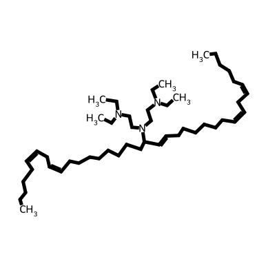 CCCCC/C=C\C/C=C\CCCCCC/C=C/C(CCCCCCCC/C=C\C/C=C\CCCCC)N(CCN(CC)CC)CCN(CC)CC